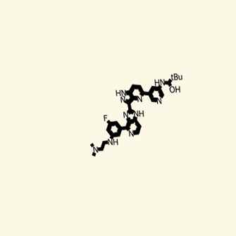 CN(C)CCNc1cc(F)cc(-c2nccc3[nH]c(-c4n[nH]c5ccc(-c6cncc(NC(O)C(C)(C)C)c6)nc45)nc23)c1